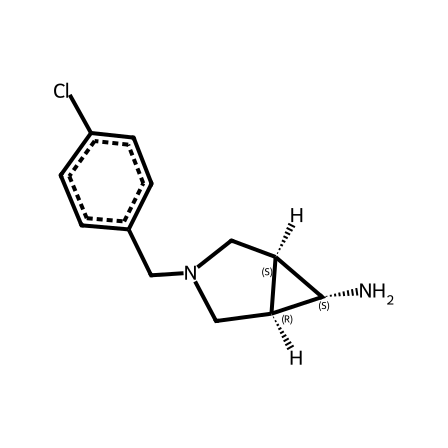 N[C@@H]1[C@H]2CN(Cc3ccc(Cl)cc3)C[C@@H]12